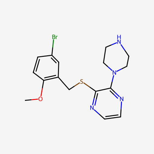 COc1ccc(Br)cc1CSc1nccnc1N1CCNCC1